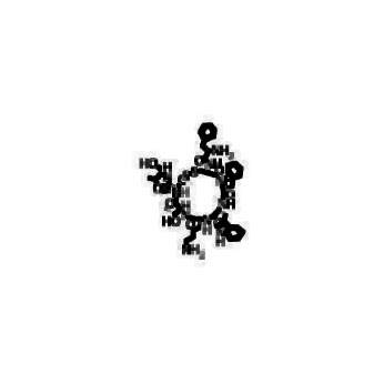 CC(O)[C@@H](CO)NC(=O)[C@@H]1CSSC[C@H](NC(=O)C(N)Cc2ccccc2)C(=O)N[C@@H](Cc2ccccc2)C(=O)N[C@H](Cc2c[nH]c3ccccc23)C(=O)N[C@@H](CCCCN)C(=O)N[C@@H]([C@@H](C)O)C(=O)N1